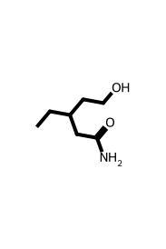 CCC(CCO)CC(N)=O